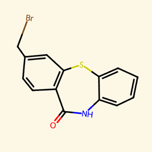 O=C1Nc2ccccc2Sc2cc(CBr)ccc21